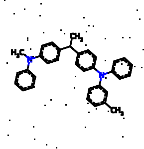 Cc1cccc(N(c2ccccc2)c2ccc(C(C)c3ccc(N(C)c4ccccc4)cc3)cc2)c1